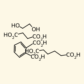 O=C(O)CCC(=O)O.O=C(O)CCCCC(=O)O.O=C(O)c1ccccc1C(=O)O.OCCO